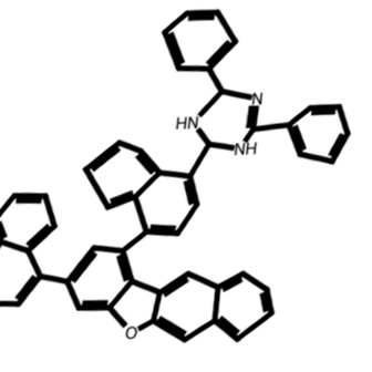 c1ccc(C2=NC(c3ccccc3)NC(c3ccc(-c4cc(-c5cccc6ccccc56)cc5oc6cc7ccccc7cc6c45)c4ccccc34)N2)cc1